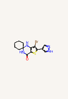 O=C1NC2(CCCCC2)Nc2c1sc(-c1cn[nH]c1)c2Br